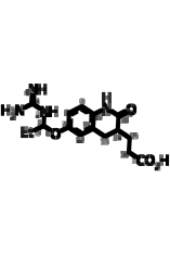 CCC(NC(=N)N)Oc1ccc2c(c1)CC(CCC(=O)O)C(=O)N2